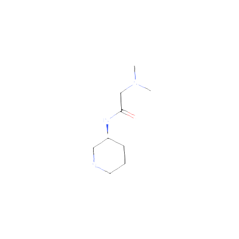 CN(C)CC(=O)N[C@H]1CCCNC1